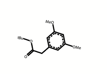 COc1cc(CC(=O)OC(C)(C)C)cc(OC)c1